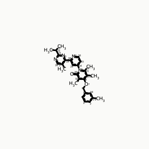 Cc1cccc(COc2c(C)c(C)n(-c3ccnc(-c4nc(C(C)C)ncc4C)c3)c(=O)c2C)c1